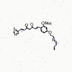 C=C/C=C\N=C\COc1ccc(/C=C/C(=O)CC(=O)/C=C/c2cncn2C)c(OC)c1